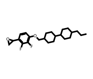 CCCC1CCC(C2CCC(COc3ccc(C4CO4)c(F)c3F)CC2)CC1